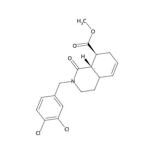 COC(=O)[C@H]1CC=CC2CCN(Cc3ccc(Cl)c(Cl)c3)C(=O)[C@@H]21